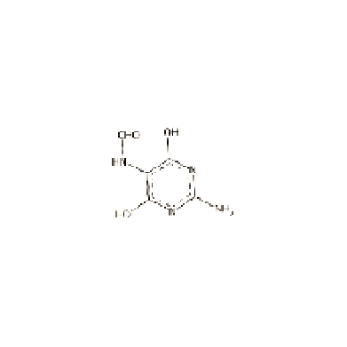 Nc1nc(O)c(NC=O)c(O)n1